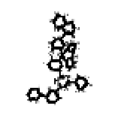 c1ccc(-c2cccc(-c3cc(-c4ccccc4)nc(-c4ccc5c(c4)C4(c6cc(-c7cccc8cccnc78)ccc6S5)c5ccccc5-c5ccccc54)n3)c2)cc1